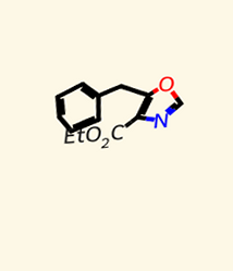 CCOC(=O)c1ncoc1Cc1ccccc1